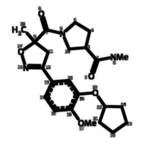 CNC(=O)C1CCN(C(=O)C2(C)CC(c3ccc(OC)c(OC4CCCC4)c3)=NO2)C1